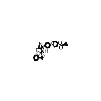 CC(OC(=O)Nc1c(F)cnn1-c1ccc(N2CCC(OC(=O)C3CC3)CC2)cc1)c1ccccc1